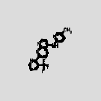 Cc1ccc(Nc2ccnc3nc(-c4ncccc4C(F)(F)F)ccc23)nc1